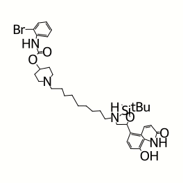 CC(C)(C)[Si](C)(C)OC(CNCCCCCCCCCN1CCC(OC(=O)Nc2ccccc2Br)CC1)c1ccc(O)c2[nH]c(=O)ccc12